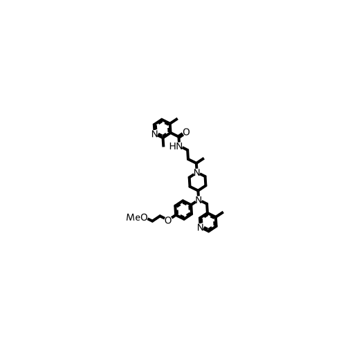 COCCOc1ccc(N(Cc2cnccc2C)C2CCN(C(C)CCNC(=O)c3c(C)ccnc3C)CC2)cc1